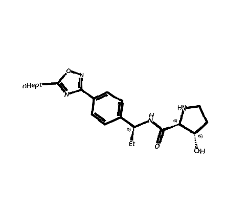 CCCCCCCc1nc(-c2ccc([C@H](CC)NC(=O)[C@H]3NCC[C@@H]3O)cc2)no1